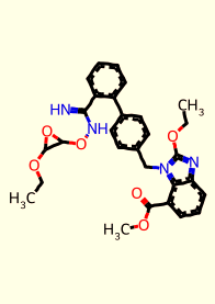 CCOc1nc2cccc(C(=O)OC)c2n1Cc1ccc(-c2ccccc2C(=N)NOC2OC2OCC)cc1